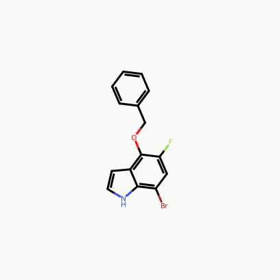 Fc1cc(Br)c2[nH]ccc2c1OCc1ccccc1